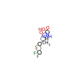 C[C@]1(c2ccc3c(c2)Cc2ccc(F)c(F)c2CS3)CCN2C(=O)c3c(O)c(=O)ccn3N[C@@H]2C1